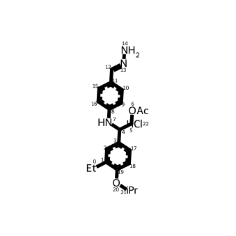 CCc1cc(C(COC(C)=O)Nc2ccc(C=NN)cc2)ccc1OC(C)C.Cl